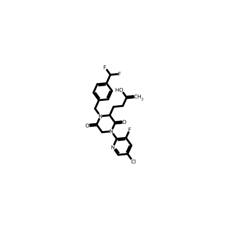 C=C(O)CCC1C(=O)N(c2ncc(Cl)cc2F)CC(=O)N1Cc1ccc(C(F)F)cc1